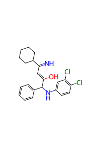 N=C(/C=C(\O)C(Nc1ccc(Cl)c(Cl)c1)c1ccccc1)C1CCCCC1